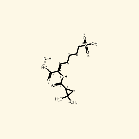 CC1(C)CC1C(=O)N/C(=C\CCCCS(=O)(=O)O)C(=O)O.[NaH]